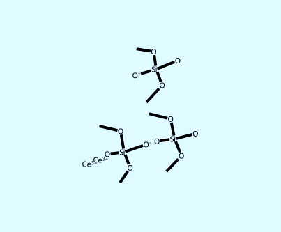 CO[Si]([O-])([O-])OC.CO[Si]([O-])([O-])OC.CO[Si]([O-])([O-])OC.[Ce+3].[Ce+3]